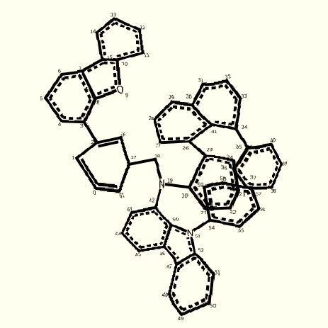 C1=CC(c2cccc3c2oc2ccccc23)=CC(CN(c2ccccc2-c2cccc3cccc(-c4ccccc4)c23)c2cccc3c4ccccc4n(-c4ccccc4)c23)C=1